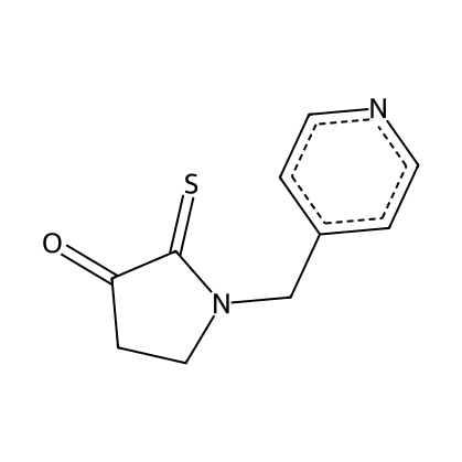 O=C1CCN(Cc2ccncc2)C1=S